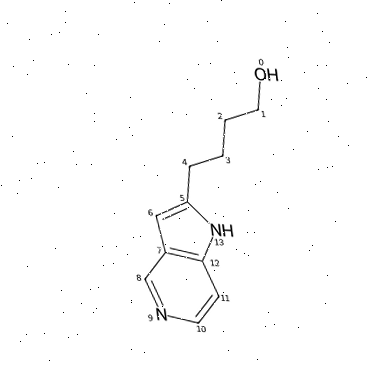 OCCCCc1cc2cnccc2[nH]1